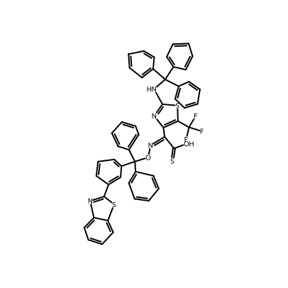 OC(=S)C(=NOC(c1ccccc1)(c1ccccc1)c1cccc(-c2nc3ccccc3s2)c1)c1nc(NC(c2ccccc2)(c2ccccc2)c2ccccc2)sc1C(F)(F)F